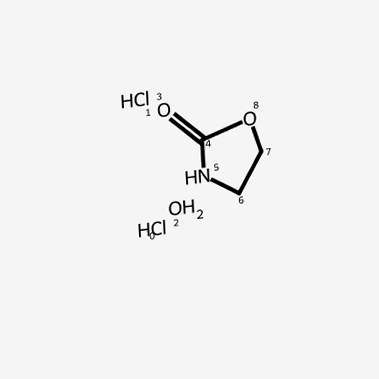 Cl.Cl.O.O=C1NCCO1